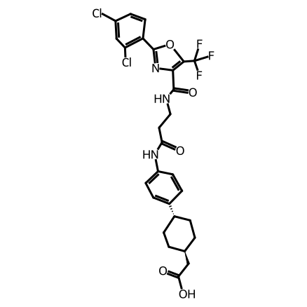 O=C(O)C[C@H]1CC[C@H](c2ccc(NC(=O)CCNC(=O)c3nc(-c4ccc(Cl)cc4Cl)oc3C(F)(F)F)cc2)CC1